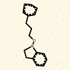 c1ccc(CCCON2CCc3ccccc32)cc1